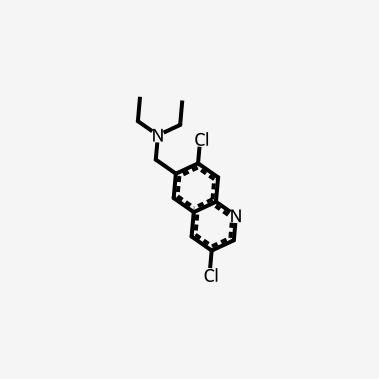 CCN(CC)Cc1cc2cc(Cl)cnc2cc1Cl